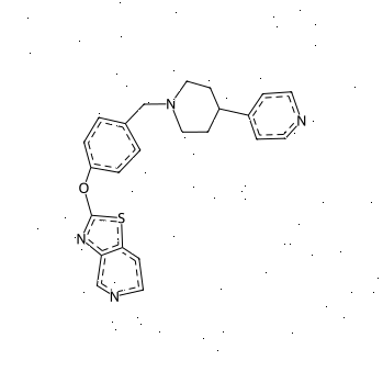 c1cc(C2CCN(Cc3ccc(Oc4nc5cnccc5s4)cc3)CC2)ccn1